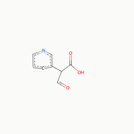 O=CC(C(=O)O)c1cccnc1